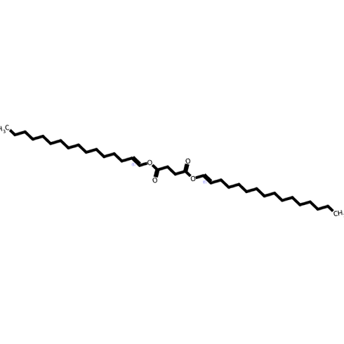 CCCCCCCCCCCCCC/C=C/OC(=O)CCC(=O)O/C=C/CCCCCCCCCCCCCC